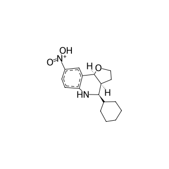 O=[N+](O)c1ccc2c(c1)[C@H]1OCC[C@H]1[C@@H](C1CCCCC1)N2